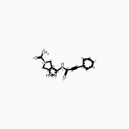 CC(=O)N1Cc2[nH]nc(NC(=O)C#Cc3ccccc3)c2C1